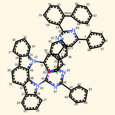 c1ccc(-c2cc(-c3cccc(-n4c5ccccc5c5ccc6c7ccccc7n(-c7nc(-c8ccccc8)nc(-c8ccccc8)n7)c6c54)c3)nc(-c3ccccc3-c3ccccc3)n2)cc1